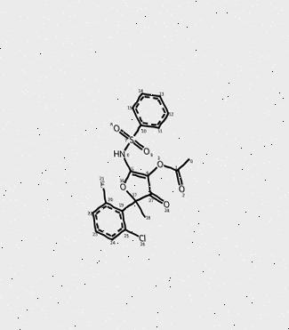 CC(=O)OC1=C(NS(=O)(=O)c2ccccc2)OC(C)(c2c(F)cccc2Cl)C1=O